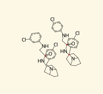 O=C(CNc1ccc(Cl)cc1)NC1CC2CCC(C1)N2Cc1ccc(Cl)cc1.O=C(CNc1cccc(Cl)c1)NC1CC2CCC(C1)N2Cc1ccc(Cl)cc1